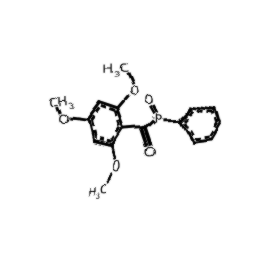 COc1cc(OC)c(C(=O)[P](=O)c2ccccc2)c(OC)c1